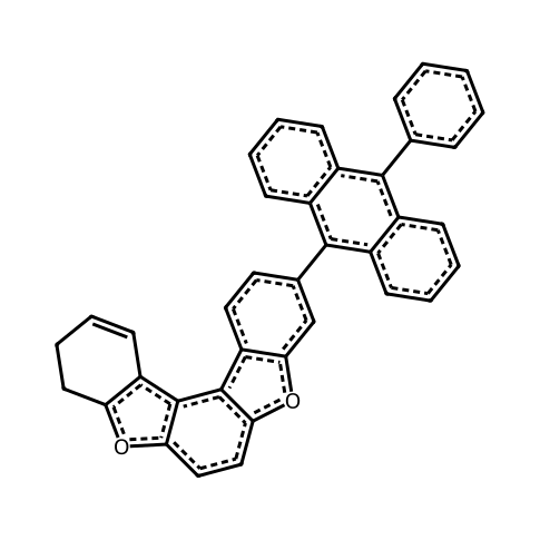 C1=Cc2c(oc3ccc4oc5cc(-c6c7ccccc7c(-c7ccccc7)c7ccccc67)ccc5c4c23)CC1